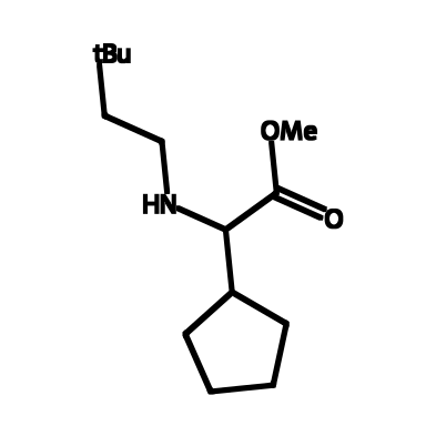 COC(=O)C(NCCC(C)(C)C)C1CCCC1